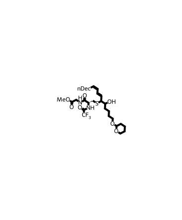 CCCCCCCCCC/C=C\C=C\C(SC[C@H](NC(=O)C(F)(F)F)C(=O)NCC(=O)OC)C(O)CCCCOC1CCCCO1